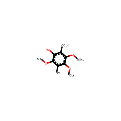 CCCCCCCCOc1c(CCC)c(OCCC)c(O)c(C(=O)O)c1OCCCCCCCC